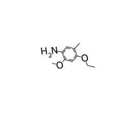 CCOc1cc(OC)c(N)cc1C